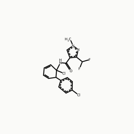 Cn1cc(C(=O)NC2(Cl)C=CC=CC2c2ccc(Cl)cc2)c(C(F)F)n1